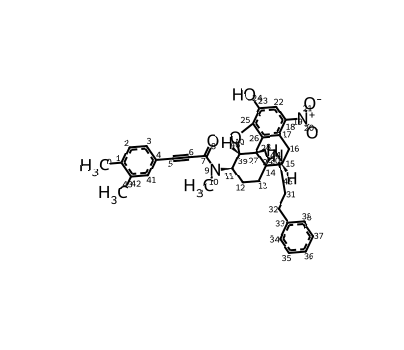 Cc1ccc(C#CC(=O)N(C)[C@@H]2CC[C@H]3[C@H]4Cc5c([N+](=O)[O-])cc(O)c6c5[C@@]3(CCN4CCc3ccccc3)[C@H]2O6)cc1C